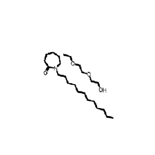 CCCCCCCCCCCCN1CCCCCC1=O.CCOCCOCCO